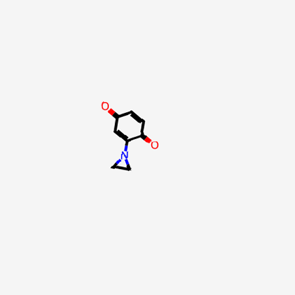 O=C1C=CC(=O)C(N2CC2)=C1